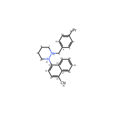 CC(C)c1ccc(CN2CCCCN2c2ccc(C#N)c3ccccc23)cc1